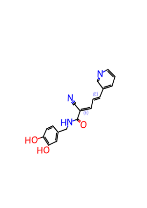 N#C/C(=C\C=C\c1cccnc1)C(=O)NCc1ccc(O)c(O)c1